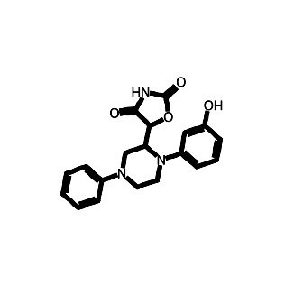 O=C1NC(=O)C(C2CN(c3ccccc3)CCN2c2cccc(O)c2)O1